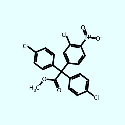 COC(=O)C(c1ccc(Cl)cc1)(c1ccc(Cl)cc1)c1ccc([N+](=O)[O-])c(Cl)c1